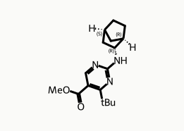 COC(=O)c1cnc(N[C@@H]2C[C@H]3CC[C@@H]2C3)nc1C(C)(C)C